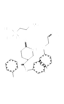 C=CCOc1ccc(I)cc1[C@H]1NC(=O)C[C@@H](c2cccc(Cl)c2)[C@]12C(=O)Nc1cc(Cl)ccc12.COCC[Si](C)(C)C